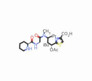 CC[C@H](C)[C@@H](NC(=O)[C@@H]1CCCCN1)C(=O)N(C)C(C[C@@H](OC(C)=O)c1nc(C(=O)O)cs1)C(C)C